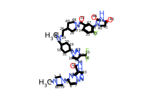 CN1CCN(c2ccn3ncc(C(=O)Nc4cn(C5CCC(CN(C)CCC6CCN(C(=O)c7ccc(F)c(N8CCC(=O)NC8=O)c7)CC6)CC5)nc4C(F)F)c3n2)CC1